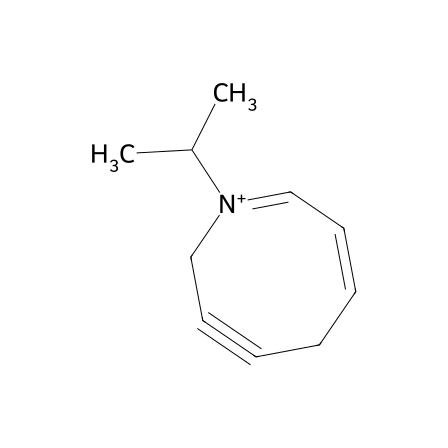 CC(C)/[N+]1=C/C=C\CC#CC1